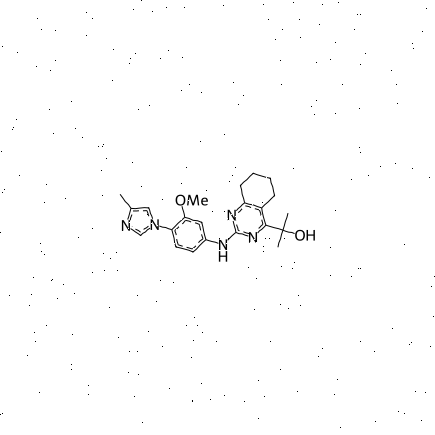 COc1cc(Nc2nc3c(c(C(C)(C)O)n2)CCCC3)ccc1-n1cnc(C)c1